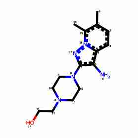 Cc1ccc2c(N)c(N3CCN(CCO)CC3)nn2c1C